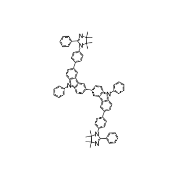 CC1(C)N=C(c2ccccc2)N(c2ccc(-c3ccc4c(c3)c3cc(-c5ccc6c(c5)c5cc(-c7ccc(N8C(c9ccccc9)=NC(C)(C)C8(C)C)cc7)ccc5n6-c5ccccc5)ccc3n4-c3ccccc3)cc2)C1(C)C